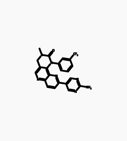 CN1Cc2cnc3ccc(-c4cnc(N)nc4)nc3c2N(c2cccc(C(F)(F)F)c2)C1=O